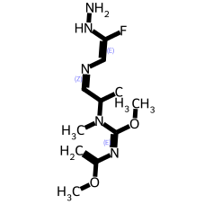 C=C(/N=C(/OC)N(C)C(C)/C=N\C=C(\F)NN)OC